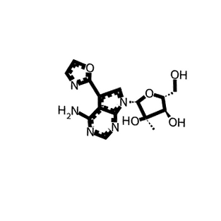 C[C@@]1(O)[C@H](O)[C@@H](CO)O[C@H]1n1cc(-c2ncco2)c2c(N)ncnc21